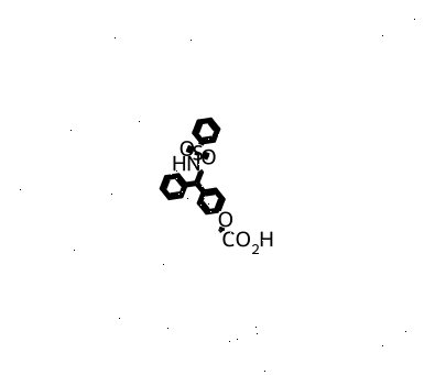 O=C(O)COc1ccc(C(CNS(=O)(=O)c2ccccc2)c2ccccc2)cc1